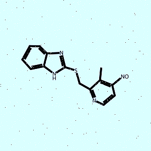 Cc1c(N=O)ccnc1CSc1nc2ccccc2[nH]1